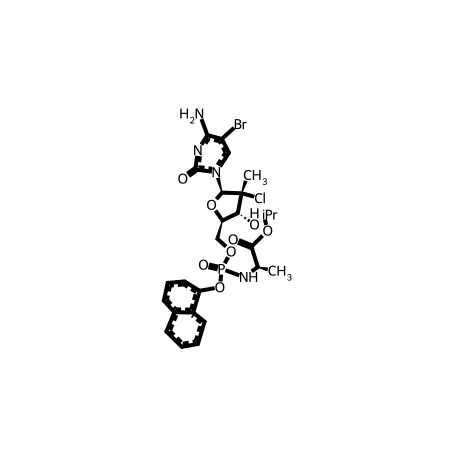 CC(C)OC(=O)[C@@H](C)NP(=O)(OC[C@H]1O[C@@H](n2cc(Br)c(N)nc2=O)[C@](C)(Cl)[C@@H]1O)Oc1cccc2ccccc12